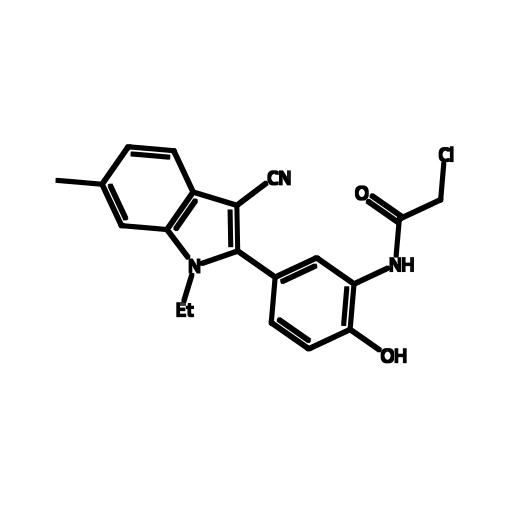 CCn1c(-c2ccc(O)c(NC(=O)CCl)c2)c(C#N)c2ccc(C)cc21